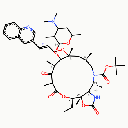 CC[C@H]1OC(=O)C(C)C(=O)[C@@H](C)C(O[C@@H]2OC(C)CC(N(C)C)C2C)[C@](C)(OC/C=C/c2cnc3ccccc3c2)C[C@@H](C)CN(C(=O)OC(C)(C)C)[C@H](C)[C@H]2NC(=O)O[C@@]21C